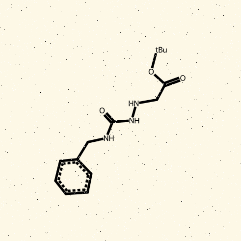 CC(C)(C)OC(=O)CNNC(=O)NCc1ccccc1